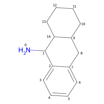 NC1c2ccccc2CC2CCCCC21